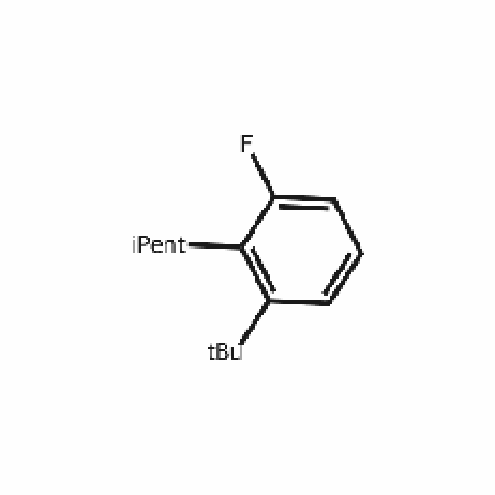 CCCC(C)c1c(F)cccc1C(C)(C)C